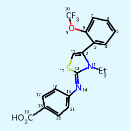 CCn1c(-c2ccccc2OC(F)(F)F)csc1=Nc1ccc(C(=O)O)cc1